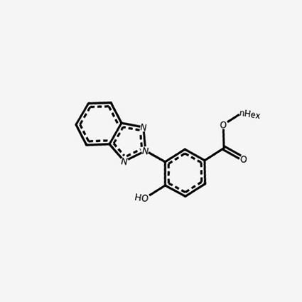 CCCCCCOC(=O)c1ccc(O)c(-n2nc3ccccc3n2)c1